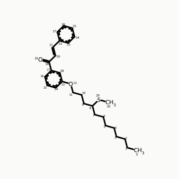 CCCCCCCCC(CCCOc1cccc(C(=O)C=Cc2ccccc2)c1)SC